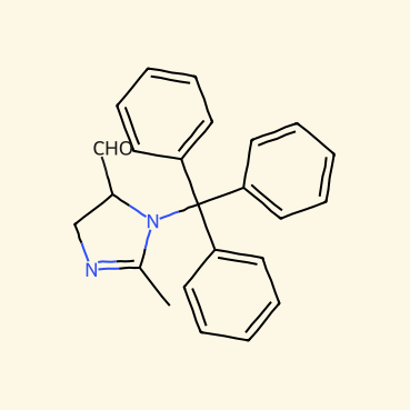 CC1=NCC(C=O)N1C(c1ccccc1)(c1ccccc1)c1ccccc1